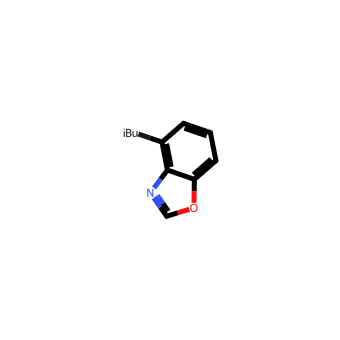 CCC(C)c1cccc2ocnc12